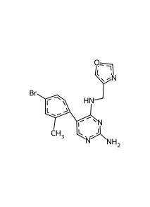 Cc1cc(Br)ccc1-c1cnc(N)nc1NCc1cocn1